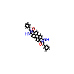 N=C1c2ccc3c4ccc5c6c(ccc(c7ccc(c2c37)C(=O)N1CCc1ccccc1)c64)C(=N)N(CCc1ccccc1)C5=O